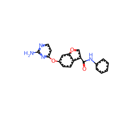 Nc1nccc(Oc2ccc3c(C(=O)Nc4ccccc4)coc3c2)n1